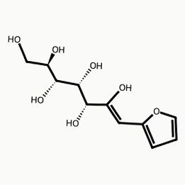 OC[C@@H](O)[C@@H](O)[C@H](O)[C@@H](O)C(O)=Cc1ccco1